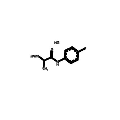 CCCCCC(C)C(=O)Nc1ccc(F)cc1.Cl